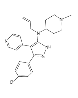 C=CCN(c1[nH]nc(-c2ccc(Cl)cc2)c1-c1ccncc1)C1CCN(C)CC1